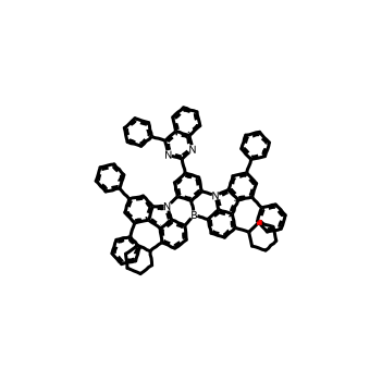 c1ccc(-c2cc(-c3ccccc3)c3c4c(C5CCCCC5)ccc5c4n(c3c2)-c2cc(-c3nc(-c4ccccc4)c4ccccc4n3)cc3c2B5c2ccc(C4CCCCC4)c4c5c(-c6ccccc6)cc(-c6ccccc6)cc5n-3c24)cc1